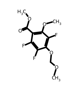 COCOc1c(F)c(F)c(C(=O)OC)c(OC)c1F